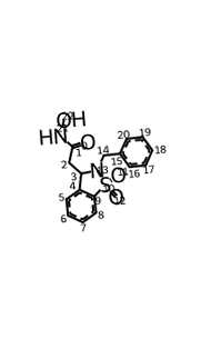 O=C(CC1c2ccccc2S(=O)(=O)N1Cc1ccccc1)NO